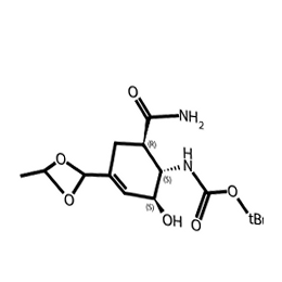 CC1OC(C2=C[C@H](O)[C@@H](NC(=O)OC(C)(C)C)[C@H](C(N)=O)C2)O1